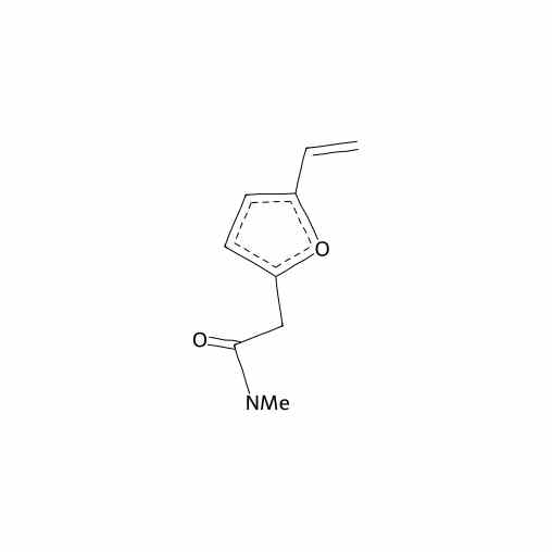 C=Cc1ccc(CC(=O)NC)o1